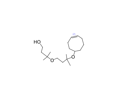 CC(C)(CCO)OCCC(C)(C)OC1CC/C=C\CCC1